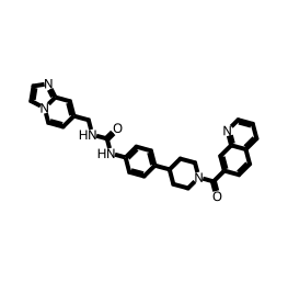 O=C(NCc1ccn2ccnc2c1)Nc1ccc(C2CCN(C(=O)c3ccc4cccnc4c3)CC2)cc1